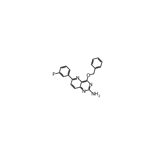 Nc1nc(OCc2ccccc2)c2nc(-c3cccc(F)c3)ccc2n1